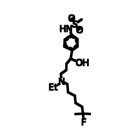 CCN(CCCCCC(C)(C)F)CCCC(O)c1ccc(NS(C)(=O)=O)cc1